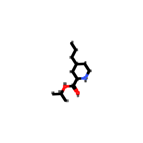 CCCC1CC[N]C(C(=O)OC(C)C)C1